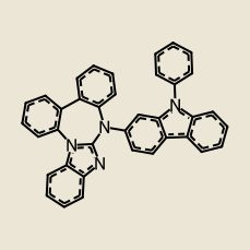 c1ccc(-n2c3ccccc3c3ccc(N4c5ccccc5-c5ccccc5-n5c4nc4ccccc45)cc32)cc1